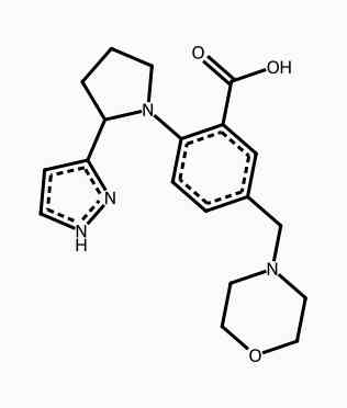 O=C(O)c1cc(CN2CCOCC2)ccc1N1CCCC1c1cc[nH]n1